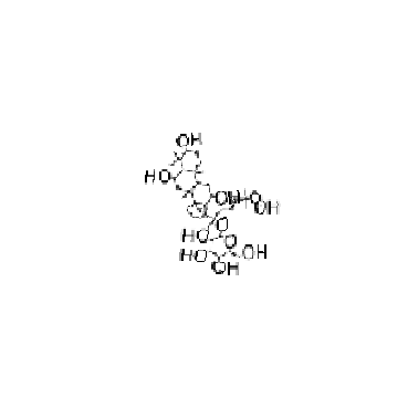 CC(C)(/C=C/CC(C)(OC1OC(CO)C(O)C(O)C1O)C1CCC2(C)C1C(O)CC1C3(C)CCC(O)C(C)(C)C3C(O)CC12C)OO